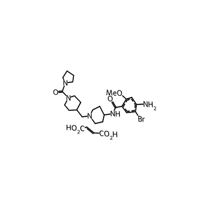 COc1cc(N)c(Br)cc1C(=O)NC1CCN(CC2CCN(C(=O)N3CCCC3)CC2)CC1.O=C(O)C=CC(=O)O